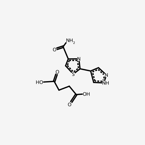 NC(=O)c1csc(-c2cn[nH]c2)n1.O=C(O)CCC(=O)O